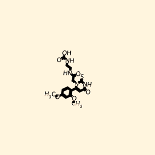 COc1ccc(-c2cc(=O)[nH]c(=S)n2CC(=O)NCCNC(=O)O)c(OC)c1